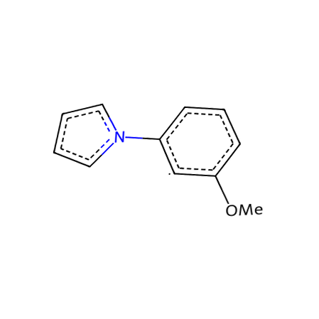 COc1[c]c(-n2cccc2)ccc1